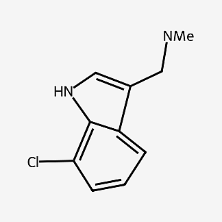 CNCc1c[nH]c2c(Cl)cccc12